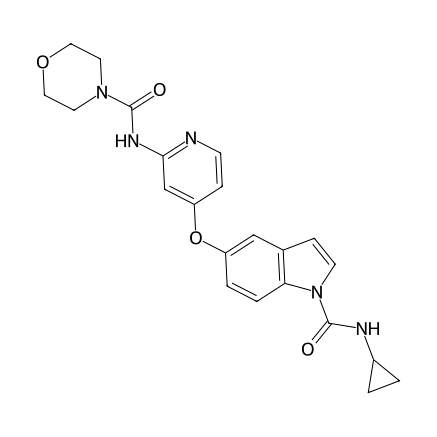 O=C(Nc1cc(Oc2ccc3c(ccn3C(=O)NC3CC3)c2)ccn1)N1CCOCC1